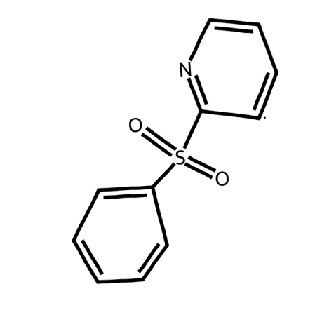 O=S(=O)(c1ccccc1)c1[c]cccn1